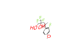 COc1ccc(C(C)(C)CC(O)(CO)C(F)(F)F)c(F)c1